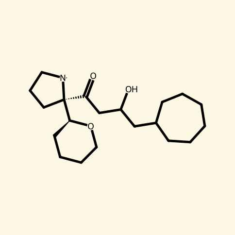 O=C(CC(O)CC1CCCCCC1)[C@]1([C@@H]2CCCCO2)CCC[N]1